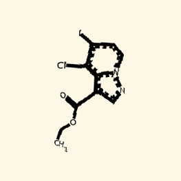 CCOC(=O)c1cnn2ccc(I)c(Cl)c12